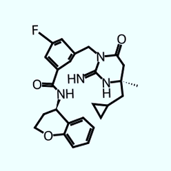 C[C@@]1(CC2CC2)CC(=O)N(Cc2cc(F)cc(C(=O)N[C@@H]3CCOc4ccccc43)c2)C(=N)N1